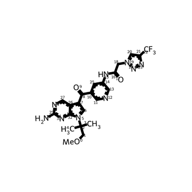 COCC(C)(C)n1cc(C(=O)c2cncc(NC(=O)Cn3cc(C(F)(F)F)nn3)c2)c2cnc(N)nc21